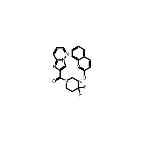 O=C(c1cn2ncccc2n1)N1CCC(F)(F)[C@@H](Oc2ccc3ccccc3n2)C1